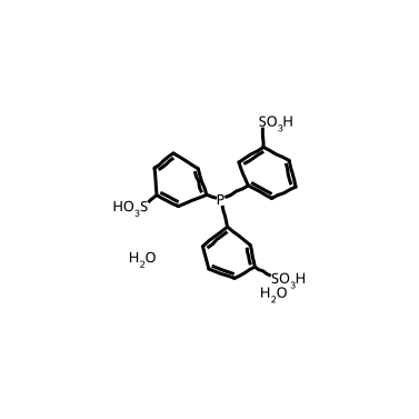 O.O.O=S(=O)(O)c1cccc(P(c2cccc(S(=O)(=O)O)c2)c2cccc(S(=O)(=O)O)c2)c1